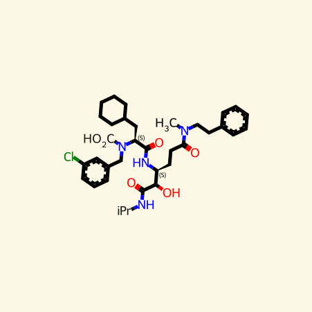 CC(C)NC(=O)C(O)[C@H](CCC(=O)N(C)CCc1ccccc1)NC(=O)[C@H](CC1CCCCC1)N(Cc1cccc(Cl)c1)C(=O)O